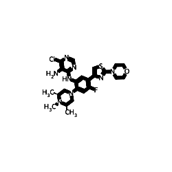 C[C@@H]1CN(c2cc(F)c(-c3csc(N4CCOCC4)n3)cc2Nc2ncnc(Cl)c2N)C[C@H](C)N1C